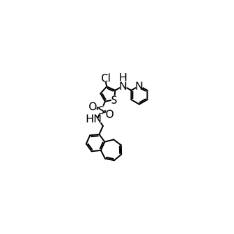 O=S(=O)(NCc1cccc2c1CC=CC=C2)c1cc(Cl)c(Nc2ccccn2)s1